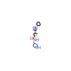 O=C(NCC1CCNCC1)c1cc(-c2cnn(-c3ccccc3)c2)cs1